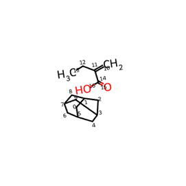 C1C2CC3CC1CC(C2)C3.C=C(CC)C(=O)O